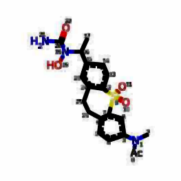 CC(=O)N(C)c1ccc2c(c1)S(=O)(=O)c1ccc(C(C)N(O)C(N)=O)cc1CC2